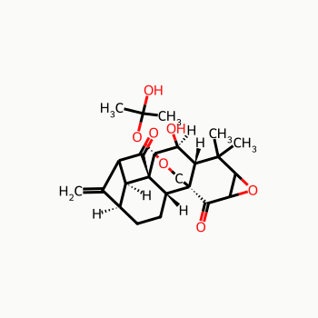 C=C1C2C(=O)[C@]34[C@H]2[C@H]1CC[C@H]3[C@@]12CO[C@]4(OC(C)(C)O)[C@@H](O)[C@@H]1C(C)(C)C1OC1C2=O